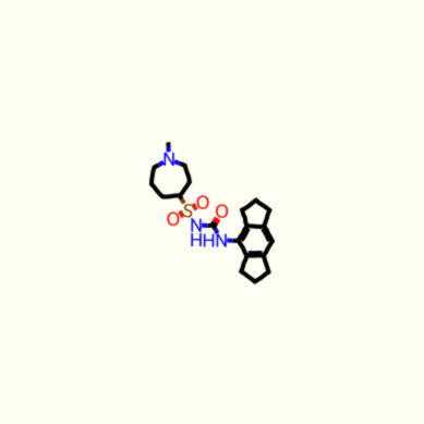 CN1CCCC(S(=O)(=O)NC(=O)Nc2c3c(cc4c2CCC4)CCC3)CC1